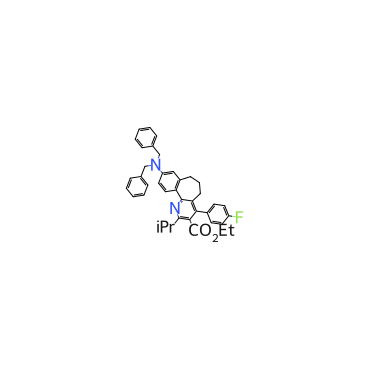 CCOC(=O)c1c(C(C)C)nc2c(c1-c1ccc(F)cc1)CCCc1cc(N(Cc3ccccc3)Cc3ccccc3)ccc1-2